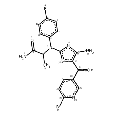 CC(C(N)=O)N(c1ccc(F)cc1)c1nc(N)c(C(=O)c2ccc(Br)nc2)s1